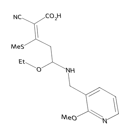 CCOC(CC(SC)=C(C#N)C(=O)O)NCc1cccnc1OC